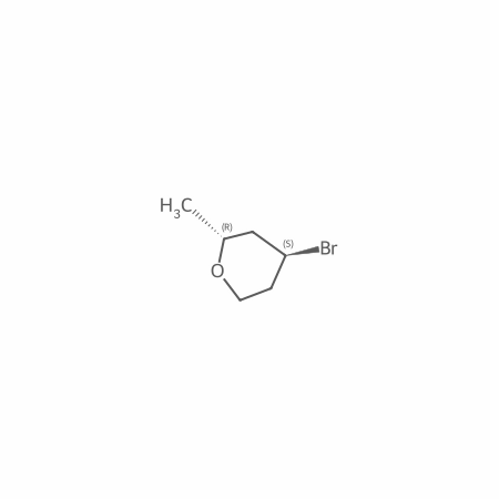 C[C@@H]1C[C@@H](Br)CCO1